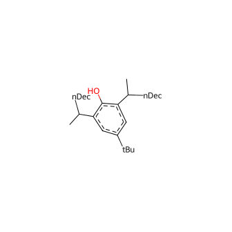 CCCCCCCCCCC(C)c1cc(C(C)(C)C)cc(C(C)CCCCCCCCCC)c1O